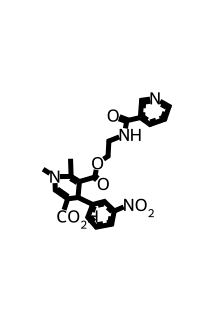 CC1=C(C(=O)OCCNC(=O)c2cccnc2)C(c2cccc([N+](=O)[O-])c2)C(C(=O)O)=CN1C